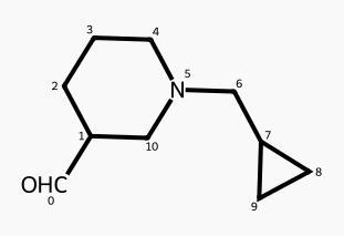 O=CC1CCCN(CC2CC2)C1